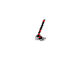 CCCCCCCCCCCCCCCCCCS(=O)(=O)Nc1ccc(O)c(O)c1O